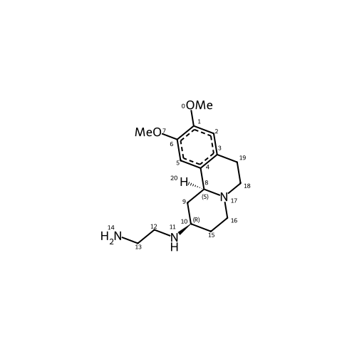 COc1cc2c(cc1OC)[C@@H]1C[C@H](NCCN)CCN1CC2